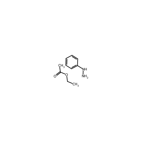 CCOC(C)=O.NNc1ccccc1